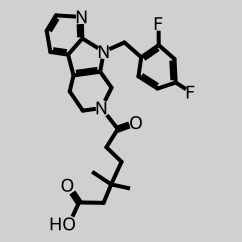 CC(C)(CCC(=O)N1CCc2c(n(Cc3ccc(F)cc3F)c3ncccc23)C1)CC(=O)O